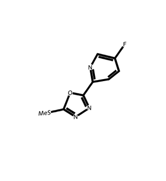 CSc1nnc(-c2ccc(F)cn2)o1